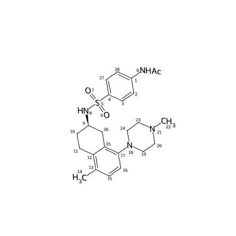 CC(=O)Nc1ccc(S(=O)(=O)N[C@@H]2CCc3c(C)ccc(N4CCN(C)CC4)c3C2)cc1